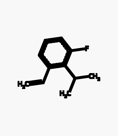 C=Cc1cccc(F)c1C(C)C